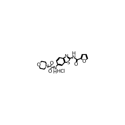 Cl.O=C(Nc1nc2ccc(NS(=O)(=O)N3CCOCC3)cc2s1)c1ccco1